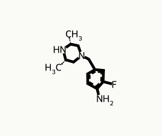 C[C@@H]1CN(Cc2ccc(N)c(F)c2)C[C@H](C)N1